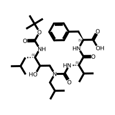 CC(C)C[C@H](NC(=O)OC(C)(C)C)C(O)CN(CC(C)C)C(=O)N[C@H](C(=O)N[C@@H](Cc1ccccc1)C(=O)O)C(C)C